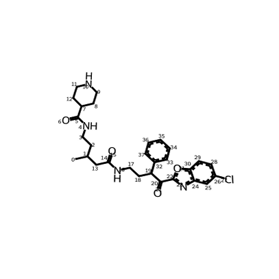 CC(CCNC(=O)C1CCNCC1)CC(=O)NCCC(C(=O)c1nc2cc(Cl)ccc2o1)c1ccccc1